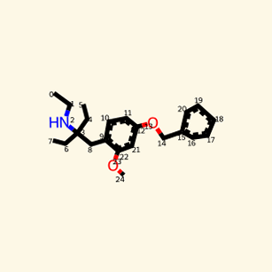 CCNC(CC)(CC)Cc1ccc(OCc2ccccc2)cc1OC